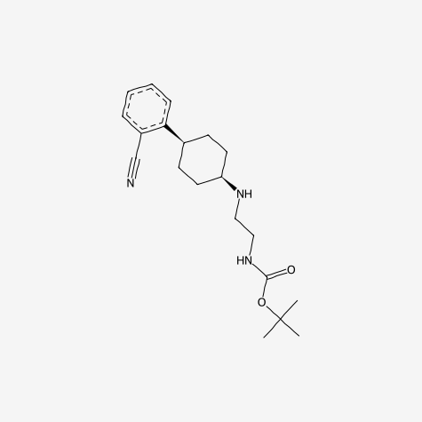 CC(C)(C)OC(=O)NCCN[C@H]1CC[C@@H](c2ccccc2C#N)CC1